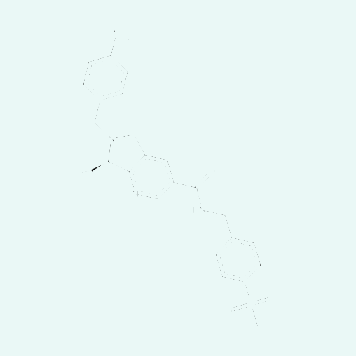 CC(C)[C@@H]1c2ncc(C(=O)NCc3ccc(S(C)(=O)=O)cc3)cc2CN1Cc1ccc(N)cc1